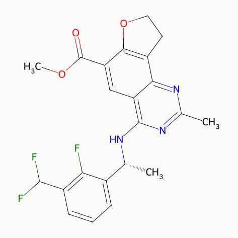 COC(=O)c1cc2c(N[C@H](C)c3cccc(C(F)F)c3F)nc(C)nc2c2c1OCC2